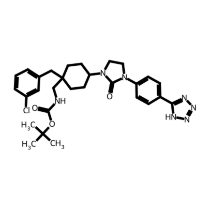 CC(C)(C)OC(=O)NCC1(Cc2cccc(Cl)c2)CCC(N2CCN(c3ccc(-c4nnn[nH]4)cc3)C2=O)CC1